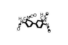 CC1(N=C=O)CC(C2=CC=C(N=C=O)C(C)(N=C=O)C2)=CC=C1N=C=O